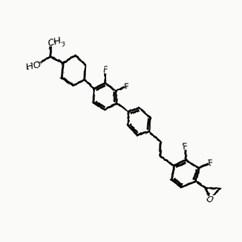 CC(O)C1CCC(c2ccc(-c3ccc(CCc4ccc(C5CO5)c(F)c4F)cc3)c(F)c2F)CC1